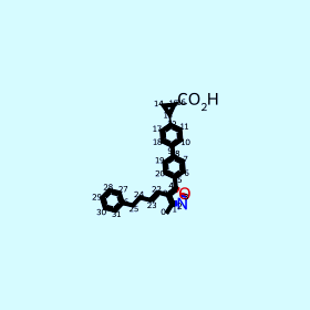 Cc1noc(-c2ccc(-c3ccc([C@H]4C[C@H]4C(=O)O)cc3)cc2)c1/C=C/CCc1ccccc1